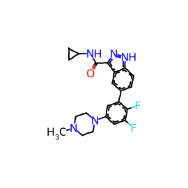 CN1CCN(c2cc(F)c(F)c(-c3ccc4[nH]nc(C(=O)NC5CC5)c4c3)c2)CC1